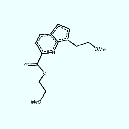 COCCOC(=O)c1ccc2ccn(CCOC)c2n1